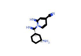 N#Cc1ccn(C(=N)[C@H]2CCC[C@@H](N)C2)c(=N)c1